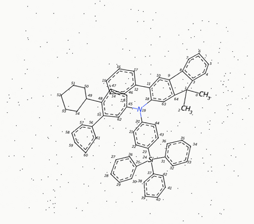 CC1(C)c2ccccc2-c2cc(-c3ccccc3)c(N(c3ccc([Si](c4ccccc4)(c4ccccc4)c4ccccc4)cc3)c3ccc(C4CCCCC4)c(-c4ccccc4)c3)cc21